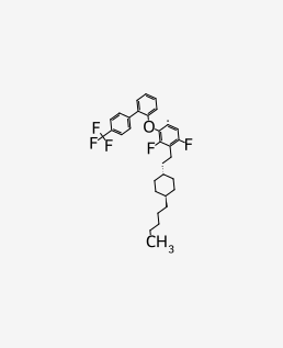 CCCCC[C@H]1CC[C@H](CCc2c(F)c[c]c(Oc3ccccc3-c3ccc(C(F)(F)F)cc3)c2F)CC1